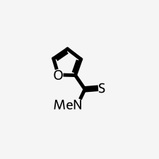 CNC(=S)c1ccco1